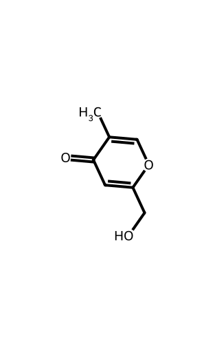 Cc1coc(CO)cc1=O